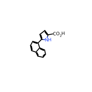 O=C(O)c1ccc(-c2cccc3ccccc23)[nH]1